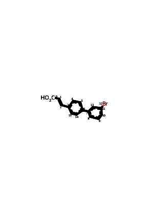 O=C(O)C=Cc1ccc(-c2cccc(Br)c2)cc1